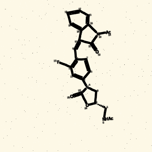 CC(=O)NC[C@H]1CN(c2ccc(C=C3C(=O)N(C(C)=O)c4ccccc43)c(F)c2)C(=O)O1